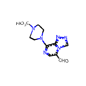 O=Cc1cnc(N2CCN(C(=O)O)CC2)c2nncn12